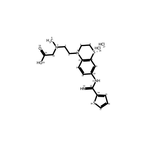 CN(CCN1CCSc2cc(NC(=N)c3cccs3)ccc21)CC(=O)O.Cl.Cl